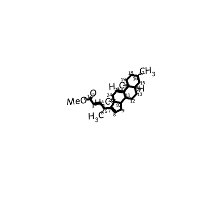 COC(=O)/C=C/[C@@H](C)C1=CCC2C3CC[C@@H]4C[C@H](C)CC[C@]4(C)C3=CC[C@]12C